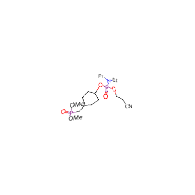 CCN(C(C)C)P(=O)(OCCC#N)OC1CCC(CP(=O)(OC)OC)CC1